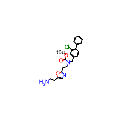 CC(C)(C)OC(=O)N(CCc1ncc(CCN)o1)Cc1ccc(-c2ccccc2)c(Cl)c1